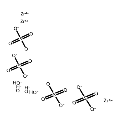 O=S(=O)([O-])[O-].O=S(=O)([O-])[O-].O=S(=O)([O-])[O-].O=S(=O)([O-])[O-].[OH-].[OH-].[OH-].[OH-].[Zr+4].[Zr+4].[Zr+4]